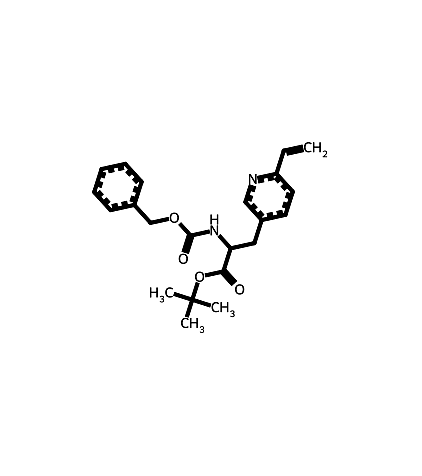 C=Cc1ccc(CC(NC(=O)OCc2ccccc2)C(=O)OC(C)(C)C)cn1